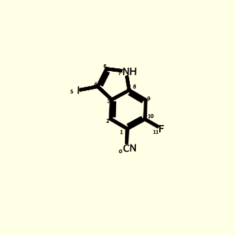 N#Cc1cc2c(I)c[nH]c2cc1F